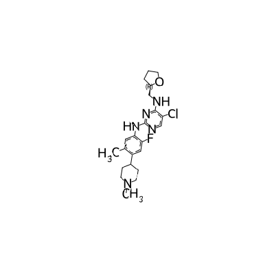 Cc1cc(Nc2ncc(Cl)c(NC[C@H]3CCCO3)n2)c(F)cc1C1CCN(C)CC1